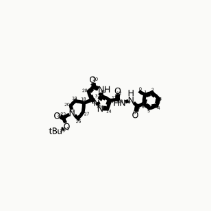 Cc1ccccc1C(=O)NNC(=O)c1cnn2c(C3CCN(C(=O)OC(C)(C)C)CC3)cc(=O)[nH]c12